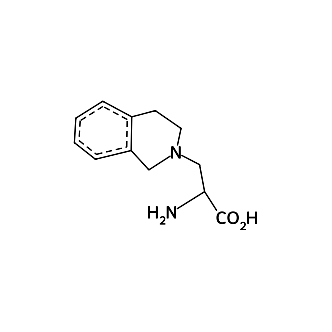 NC(CN1CCc2ccccc2C1)C(=O)O